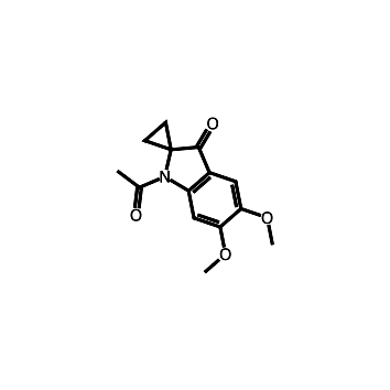 COc1cc2c(cc1OC)N(C(C)=O)C1(CC1)C2=O